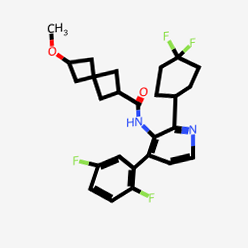 COC1CC2(C1)CC(C(=O)Nc1c(-c3cc(F)ccc3F)ccnc1C1CCC(F)(F)CC1)C2